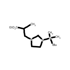 CCOC(=O)C(C)CN1CCN([Si](C)(C)C(C)(C)C)C1